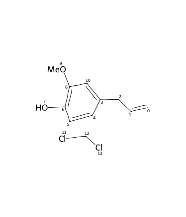 C=CCc1ccc(O)c(OC)c1.ClCCl